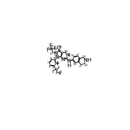 CC(C)(CF)c1cccc(-n2c3nc(Nc4ccc5c(c4)CCNC5)ncc3c(=O)n2CC(F)(F)F)n1